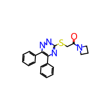 O=C(CSc1nnc(-c2ccccc2)c(-c2ccccc2)n1)N1CCC1